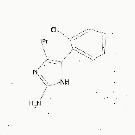 CC(C)c1nc(N)[nH]c1-c1ccccc1Cl